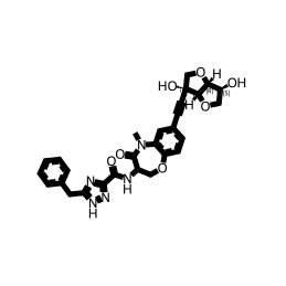 CN1C(=O)C(NC(=O)c2n[nH]c(Cc3ccccc3)n2)COc2ccc(C#C[C@@]3(O)CO[C@@H]4[C@@H](O)CO[C@@H]43)cc21